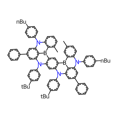 CCCCc1ccc(N2c3ccc(C)cc3B3c4cc5c(cc4N(c4ccc(C(C)(C)C)cc4)c4cc(-c6ccccc6)cc2c43)N(c2ccc(C(C)(C)C)cc2)c2cc(-c3ccccc3)cc3c2B5c2c(C)cccc2N3c2ccc(CCCC)cc2)cc1